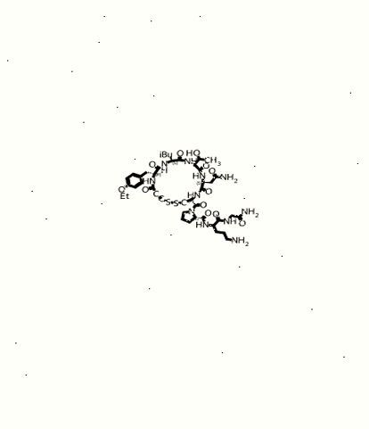 CCOc1ccc(C[C@H]2NC(=O)CCSSC[C@@H](C(=O)N3CCC[C@H]3C(=O)NC(CCCN)C(=O)NCC(N)=O)NC(=O)[C@H](CC(N)=O)NC(=O)C(C(C)O)NC(=O)[C@H](C(C)CC)NC2=O)cc1